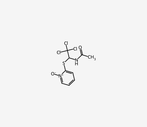 CC(=O)NC(Sc1cccc[n+]1[O-])C(Cl)(Cl)Cl